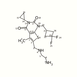 Cc1c(CNCCN)sc2c1c(=O)n(C1CC1)c(=O)n2CC1CC(F)(F)C1